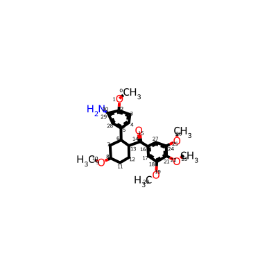 COc1ccc(C2CC(OC)CCC2C(=O)c2cc(OC)c(OC)c(OC)c2)cc1N